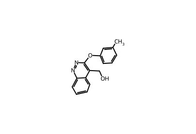 Cc1cccc(Oc2nnc3ccccc3c2CO)c1